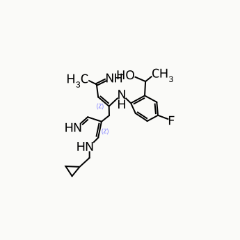 CC(=N)/C=C(/C/C(C=N)=C/NCC1CC1)Nc1ccc(F)cc1C(C)O